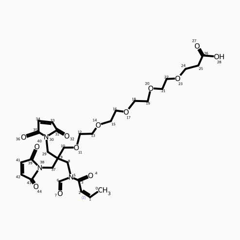 C/C=C\C(=O)N(C=O)CC(COCCOCCOCCOCCOCCC(=O)O)(CN1C(=O)C=CC1=O)CN1C(=O)C=CC1=O